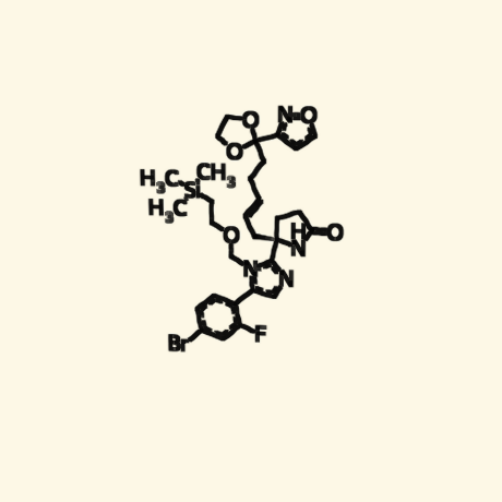 C[Si](C)(C)CCOCn1c(-c2ccc(Br)cc2F)cnc1[C@]1(C/C=C/CCC2(c3ccon3)OCCO2)CCC(=O)N1